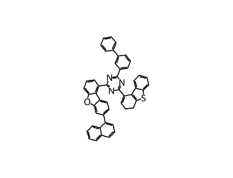 C1=C(c2nc(-c3cccc(-c4ccccc4)c3)nc(-c3cccc4oc5cc(-c6cccc7ccccc67)ccc5c34)n2)c2c(sc3ccccc23)CC1